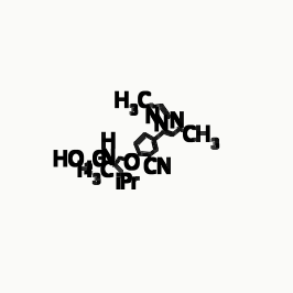 Cc1cc(-c2ccc(OCC(C)(CC(C)C)NC(=O)O)c(C#N)c2)n2nc(C)cc2n1